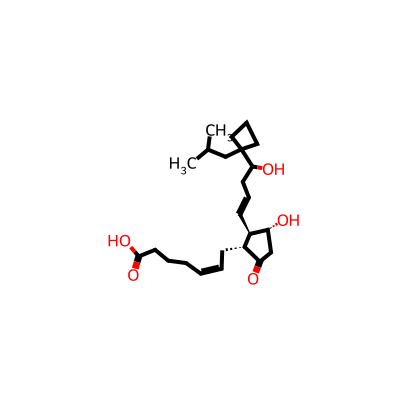 CC(C)CC1(C(O)C/C=C/[C@H]2[C@H](O)CC(=O)[C@@H]2C/C=C\CCCC(=O)O)CCC1